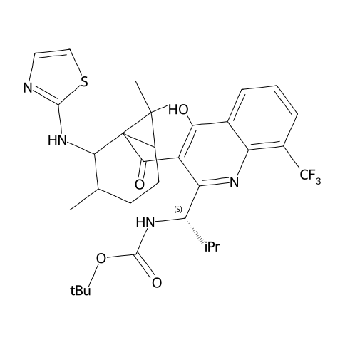 CC1CCC2C(C)(C)C2(C(=O)c2c([C@@H](NC(=O)OC(C)(C)C)C(C)C)nc3c(C(F)(F)F)cccc3c2O)C1Nc1nccs1